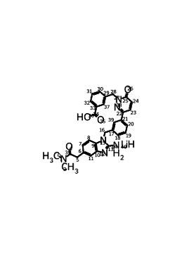 CN(C)C(=O)Cc1ccc2c(c1)nc(N)n2Cc1cccc(-c2ccc(=O)n(Cc3cccc(C(=O)O)c3)n2)c1.[LiH]